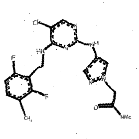 CNC(=O)Cn1cc(Nc2ncc(Cl)c(NCc3c(F)ccc(C)c3F)n2)cn1